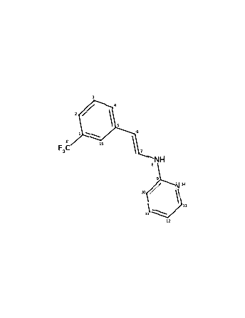 FC(F)(F)c1cccc(C=CNc2ccccn2)c1